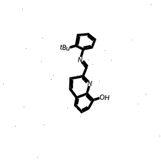 CC(C)(C)c1ccccc1/N=C/c1ccc2cccc(O)c2n1